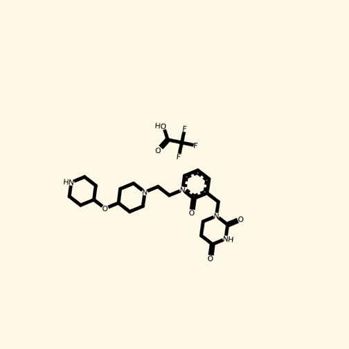 O=C(O)C(F)(F)F.O=C1CCN(Cc2cccn(CCN3CCC(OC4CCNCC4)CC3)c2=O)C(=O)N1